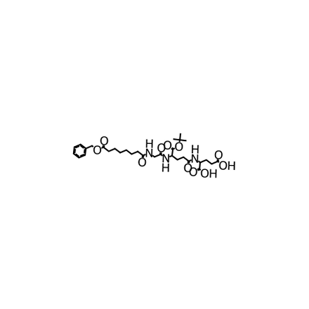 CC(C)(C)OC(=O)C(CCC(=O)NC(CCC(=O)O)C(=O)O)NC(=O)CNC(=O)CCCCCCC(=O)OCc1ccccc1